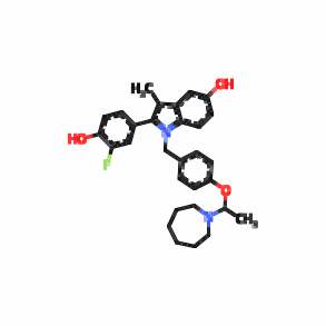 Cc1c(-c2ccc(O)c(F)c2)n(Cc2ccc(OC(C)N3CCCCCC3)cc2)c2ccc(O)cc12